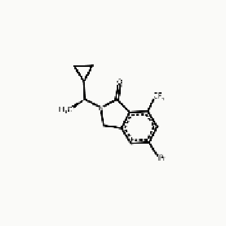 CC(C)c1cc2c(c(C(F)(F)F)c1)C(=O)N([C@@H](C)C1CC1)C2